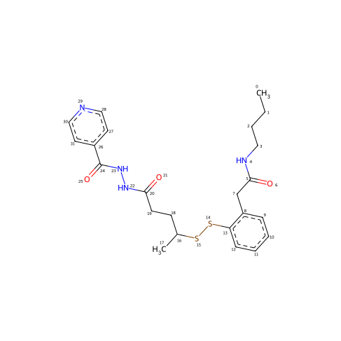 CCCCNC(=O)Cc1ccccc1SSC(C)CCC(=O)NNC(=O)c1ccncc1